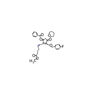 COC(=O)CCC/C=C\C[C@H]1[C@H](COCc2ccc(F)cc2)[C@H](OC2CCCCO2)C[C@H]1OC(=O)c1ccccc1